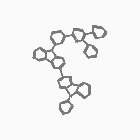 c1ccc(-c2ccc(-c3cccc(-n4c5ccccc5c5cc(-c6ccc7c(c6)c6ccccc6n7-c6ccccc6)ccc54)c3)nc2-c2ccccc2)cc1